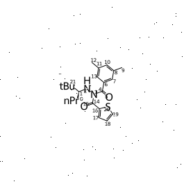 CCC[C@H](NN(C(=O)c1cc(C)cc(C)c1)C(=O)c1cccs1)C(C)(C)C